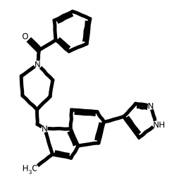 Cc1cc2cc(-c3cn[nH]c3)ccc2n1CC1CCN(C(=O)c2ccccc2)CC1